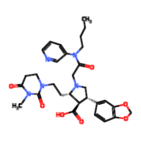 CCCCN(C(=O)CN1C[C@H](c2ccc3c(c2)OCO3)[C@@H](C(=O)O)[C@@H]1CCN1CCC(=O)N(C)C1=O)c1cccnc1